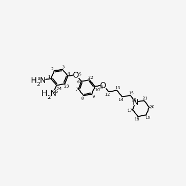 Nc1ccc(Oc2cccc(OCCCCN3CCCCC3)c2)cc1N